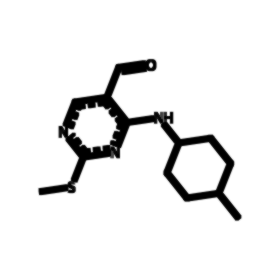 CSc1ncc(C=O)c(NC2CCC(C)CC2)n1